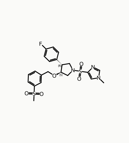 Cn1cnc(S(=O)(=O)N2C[C@@H](OCc3cccc(S(C)(=O)=O)c3)[C@H](c3ccc(F)cc3)C2)c1